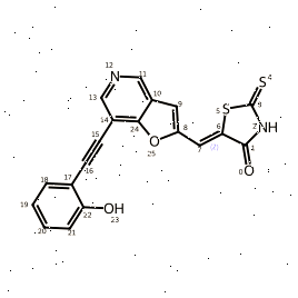 O=C1NC(=S)S/C1=C\c1cc2cncc(C#Cc3ccccc3O)c2o1